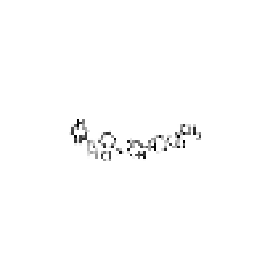 C[C@H]1CC2(CCN(c3cnc(Sc4cccc(Nc5cnccn5)c4Cl)cn3)CC2)CO1